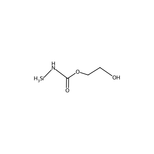 O=C(N[SiH3])OCCO